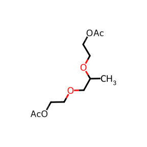 CC(=O)OCCOCC(C)OCCOC(C)=O